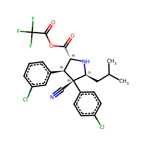 CC(C)C[C@@H]1N[C@@H](C(=O)OC(=O)C(F)(F)F)[C@H](c2cccc(Cl)c2)[C@@]1(C#N)c1ccc(Cl)cc1